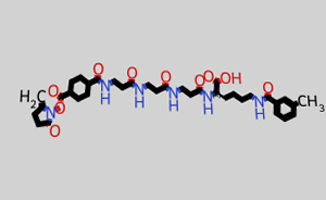 C=C1CCC(=O)N1OC(=O)C1CCC(C(=O)NCCC(=O)NCCC(=O)NCCC(=O)N[C@H](CCCCNC(=O)c2cccc(C)c2)C(=O)O)CC1